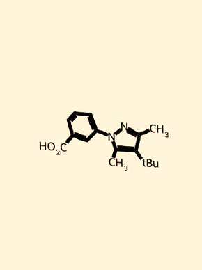 Cc1nn(-c2cccc(C(=O)O)c2)c(C)c1C(C)(C)C